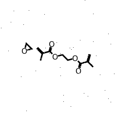 C1CO1.C=C(C)C(=O)OCCOC(=O)C(=C)C